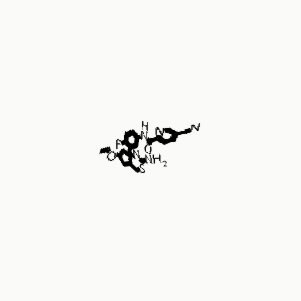 CCOC1CC2CSC(N)=NC2(c2cc(NC(=O)c3ccc(C#N)cn3)ccc2F)C1